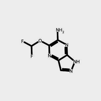 Nc1nc2[nH]ncc2nc1OC(F)F